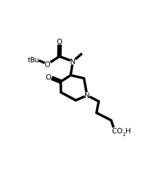 CN(C(=O)OC(C)(C)C)C1CN(CCCC(=O)O)CCC1=O